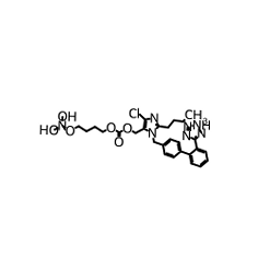 CCCCc1nc(Cl)c(COC(=O)OCCCCON(O)O)n1Cc1ccc(-c2ccccc2-c2nn[nH]n2)cc1